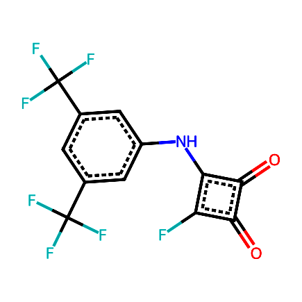 O=c1c(F)c(Nc2cc(C(F)(F)F)cc(C(F)(F)F)c2)c1=O